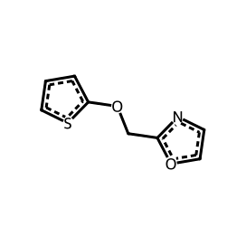 c1csc(OCc2ncco2)c1